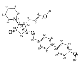 COC=CC[C@H]1[C@H](N2CCCCC2)C(=O)C[C@H]1OCc1ccc(-c2ccc(OC)cc2)cc1